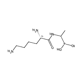 CC(NC(=O)[C@@H](N)CCCCN)P(O)O